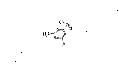 Cc1[c]ccc(F)c1.[Cl][Zn][Cl]